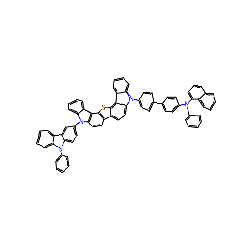 c1ccc(N(c2ccc(-c3ccc(-n4c5ccccc5c5c6sc7c(ccc8c7c7ccccc7n8-c7ccc8c(c7)c7ccccc7n8-c7ccccc7)c6ccc54)cc3)cc2)c2cccc3ccccc23)cc1